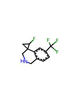 FC1CC12CNCc1ccc(C(F)(F)F)cc12